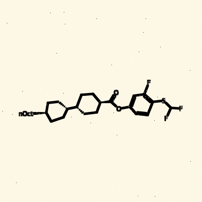 CCCCCCCC[C@H]1CC[C@H]([C@H]2CC[C@H](C(=O)Oc3ccc(SC(F)F)c(F)c3)CC2)CC1